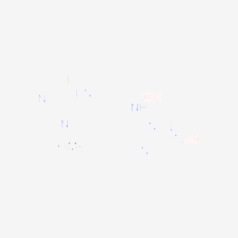 COc1ccc2ncc(F)c(CN[C@H]3CC[C@](CO)(NCc4cnc5c(n4)NC(=O)CS5)CC3)c2n1